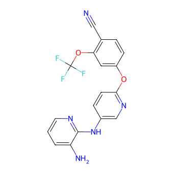 N#Cc1ccc(Oc2ccc(Nc3ncccc3N)cn2)cc1OC(F)(F)F